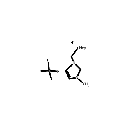 CCCCCCCCN1C=CN(C)C1.F[B-](F)(F)F.[H+]